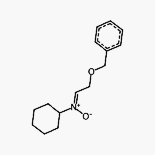 [O-][N+](=CCOCc1ccccc1)C1CCCCC1